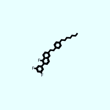 CCCCCCCc1ccc(CCc2ccc3c(F)c(-c4cc(F)cc(F)c4)ccc3c2)cc1